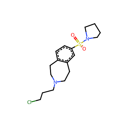 O=S(=O)(c1ccc2c(c1)CCN(CCCCl)CC2)N1CCCC1